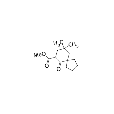 COC(=O)C1CC(C)(C)CC2(CCCC2)C1=O